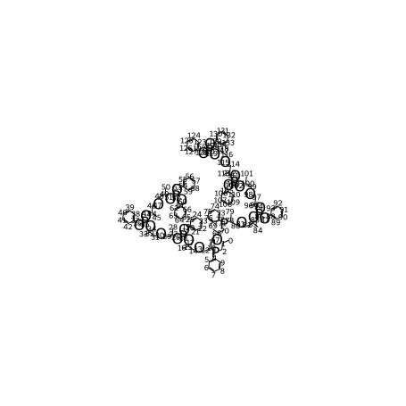 CC(CP(c1ccccc1)C(C)COCC(C)OP(Oc1ccccc1)OC(C)COCC(C)OP(Oc1ccccc1)OC(C)COCC(C)OP(Oc1ccccc1)Oc1ccccc1)OC(C)CP(c1ccccc1)C(C)COCC(C)OP(Oc1ccccc1)OC(C)COCC(C)OP(Oc1ccccc1)OC(C)COCC(C)OP(Oc1ccccc1)Oc1ccccc1